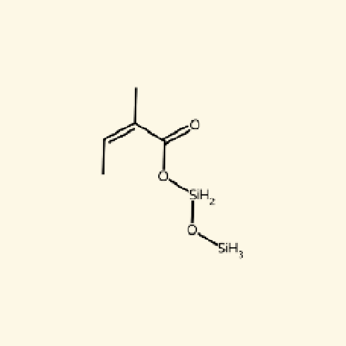 CC=C(C)C(=O)O[SiH2]O[SiH3]